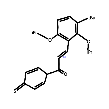 CC(C)Oc1ccc(C(C)(C)C)c(OC(C)C)c1/C=C/C(=O)C1C=CC(=S)C=C1